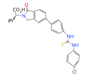 CC(C)[C@@H](C(=O)O)N1Cc2cc(-c3ccc(NC(=S)Nc4ccc(Cl)cc4)cc3)ccc2C1=O